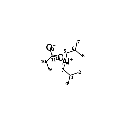 CC(C)[CH2][Al+][CH2]C(C)C.CCC(=O)[O-]